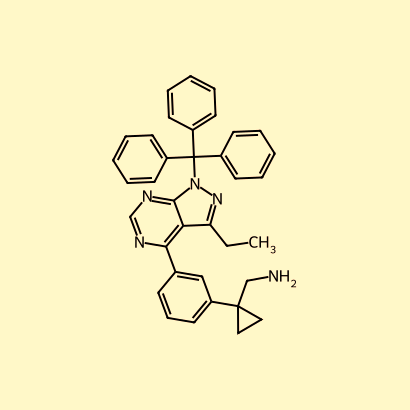 CCc1nn(C(c2ccccc2)(c2ccccc2)c2ccccc2)c2ncnc(-c3cccc(C4(CN)CC4)c3)c12